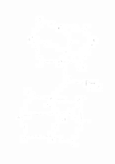 PC(C12CC3CC(CC(C3)C1)C2)C12CC3CC(CC(C3)C1)C2